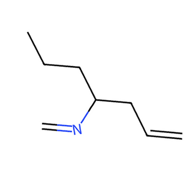 C=CCC(CCC)N=C